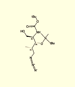 C[C@@H](CN=[N+]=[N-])[C@@H](O[Si](C)(C)C(C)(C)C)[C@@H](CO)NC(=O)OC(C)(C)C